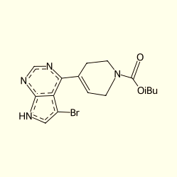 CC(C)COC(=O)N1CC=C(c2ncnc3[nH]cc(Br)c23)CC1